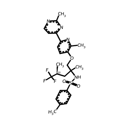 Cc1ccc(S(=O)(=O)NC(C)(COc2ccc(-c3ccnc(C)n3)nc2C)C[C@H](C)C(F)(F)F)cc1